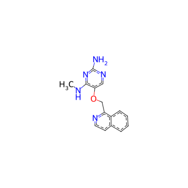 CNc1nc(N)ncc1OCc1nccc2ccccc12